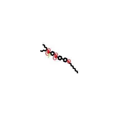 CCCCCCCCCOc1ccc(-c2ccc(C(=O)Oc3ccc(C(=O)OC(CCCC)CCCC)c(F)c3)cc2)cc1